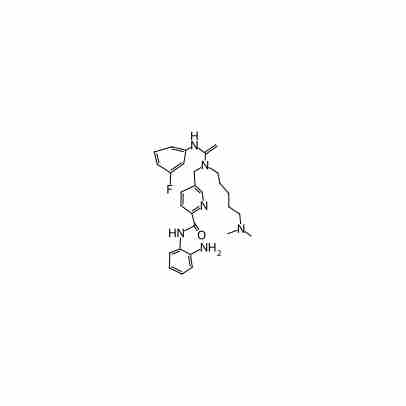 C=C(Nc1cccc(F)c1)N(CCCCCN(C)C)Cc1ccc(C(=O)Nc2ccccc2N)nc1